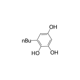 CCCCc1cc(O)cc(O)c1O